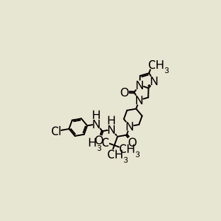 Cc1cn2c(n1)CN(C1CCN(C(=O)[C@H](NC(=O)Nc3ccc(Cl)cc3)C(C)(C)C)CC1)C2=O